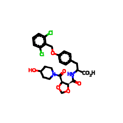 O=C(O)[C@H](Cc1ccc(OCc2c(Cl)cccc2Cl)cc1)NC(=O)[C@@H]1OCO[C@H]1C(=O)N1CCC(O)CC1